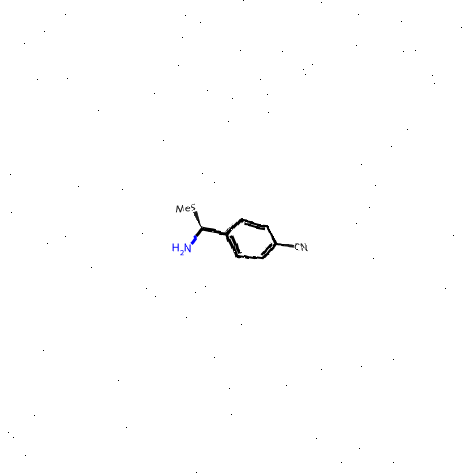 CS[C@H](N)c1ccc(C#N)cc1